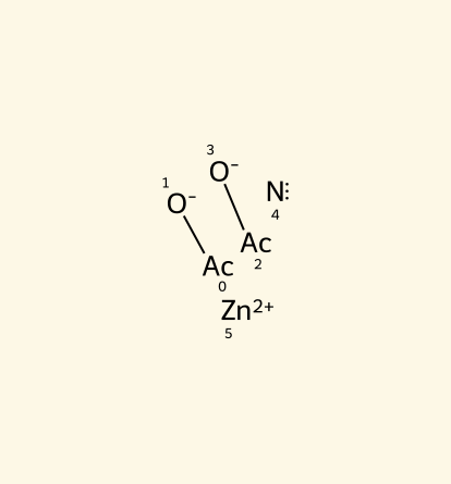 CC(=O)[O-].CC(=O)[O-].[N].[Zn+2]